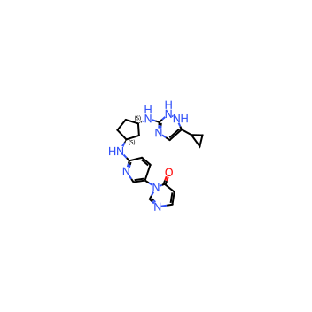 O=c1ccncn1-c1ccc(N[C@H]2CC[C@H](NC3=NC=C(C4CC4)NN3)C2)nc1